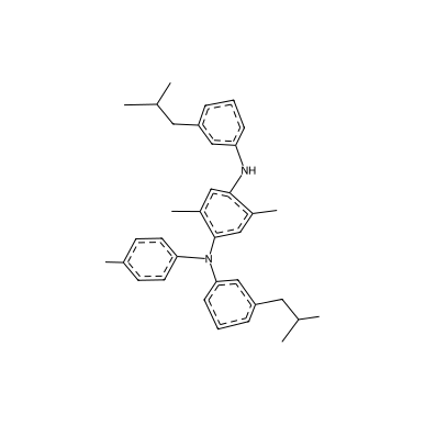 Cc1ccc(N(c2cccc(CC(C)C)c2)c2cc(C)c(Nc3cccc(CC(C)C)c3)cc2C)cc1